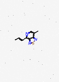 C/C=C/c1ncc(C)c2nsnc12